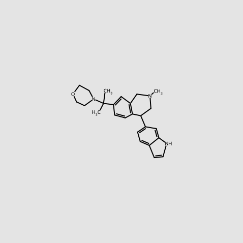 CN1Cc2cc(C(C)(C)N3CCOCC3)ccc2C(c2ccc3cc[nH]c3c2)C1